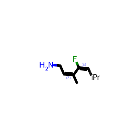 CC(=C/CN)/C(F)=C\C(C)C